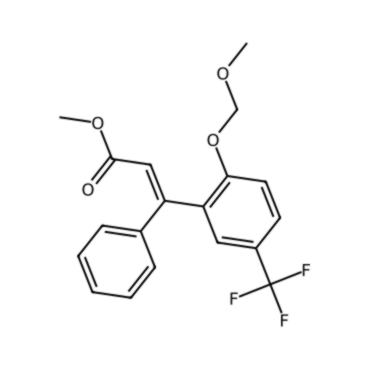 COCOc1ccc(C(F)(F)F)cc1C(=CC(=O)OC)c1ccccc1